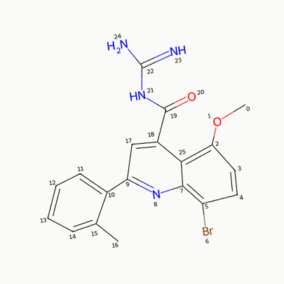 COc1ccc(Br)c2nc(-c3ccccc3C)cc(C(=O)NC(=N)N)c12